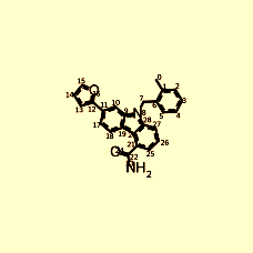 Cc1ccccc1Cn1c2cc(-c3ccco3)c[c]c2c2c(C(N)=O)cccc21